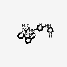 C=CC(=O)NC1(c2cccc3cnc(Nc4ccc(NC5CCNC5)nc4)nc23)C=CC=CN1